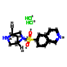 Cl.Cl.O=S(=O)(c1ccc2cnccc2c1)N1C[C@@H]2C[C@H]1CN2